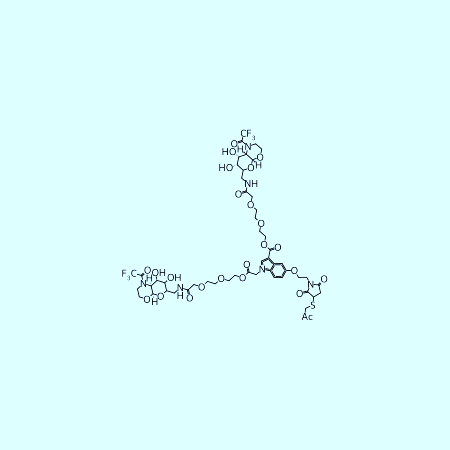 CC(=O)CSC1CC(=O)N(CCOc2ccc3c(c2)c(C(=O)OCCOCCOCC(=O)NCC2O[C@H]4OCCN(C(=O)C(F)(F)F)[C@H]4[C@@H](O)[C@H]2O)cn3CC(=O)OCCOCCOCC(=O)NCC2O[C@H]3OCCN(C(=O)C(F)(F)F)[C@H]3[C@@H](O)[C@H]2O)C1=O